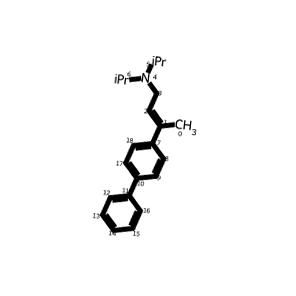 CC(=CCN(C(C)C)C(C)C)c1ccc(-c2ccccc2)cc1